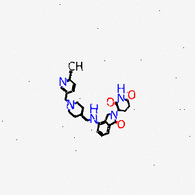 C#Cc1ccc(CN2CCC(CNc3cccc4c3CN(C3CCC(=O)NC3=O)C4=O)CC2)cn1